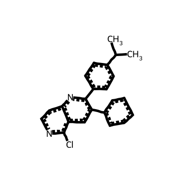 CC(C)c1ccc(-c2nc3ccnc(Cl)c3cc2-c2ccccc2)cc1